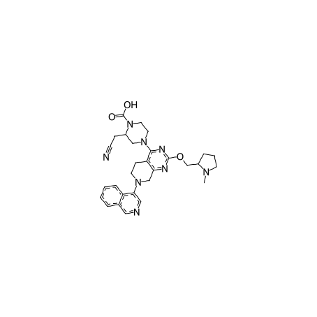 CN1CCCC1COc1nc2c(c(N3CCN(C(=O)O)C(CC#N)C3)n1)CCN(c1cncc3ccccc13)C2